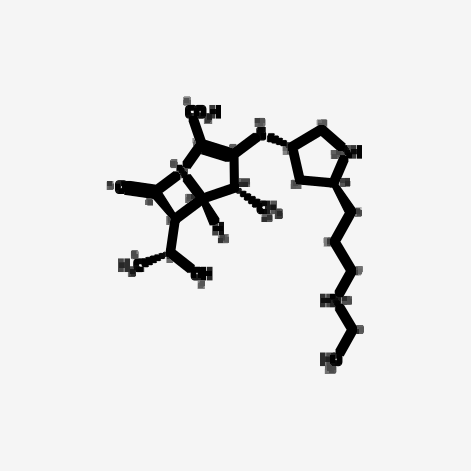 C[C@@H](O)[C@H]1C(=O)N2C(C(=O)O)=C(S[C@@H]3CN[C@@H](CCCNCO)C3)[C@H](C)[C@H]12